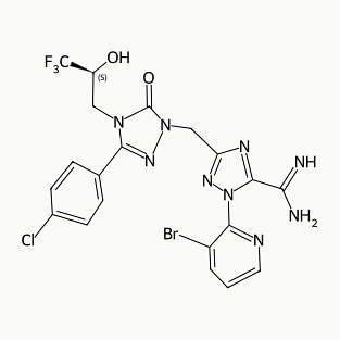 N=C(N)c1nc(Cn2nc(-c3ccc(Cl)cc3)n(C[C@H](O)C(F)(F)F)c2=O)nn1-c1ncccc1Br